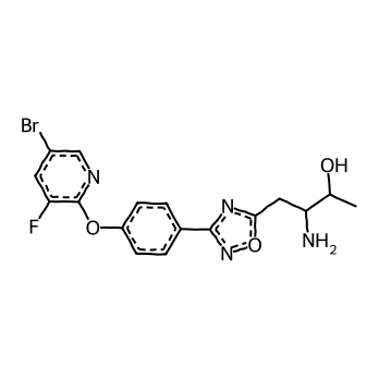 CC(O)C(N)Cc1nc(-c2ccc(Oc3ncc(Br)cc3F)cc2)no1